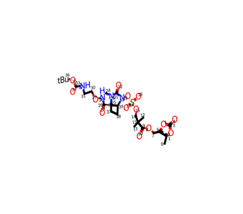 Cc1oc(=O)oc1COC(=O)C(C)(C)COS(=O)(=O)ON1C(=O)N(C)[C@@]2(C(=O)NOCCNC(=O)OC(C)(C)C)CCC12